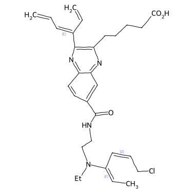 C=C/C=C(\C=C)c1nc2ccc(C(=O)NCCN(CC)C(/C=C\CCl)=C/C)cc2nc1CCCCC(=O)O